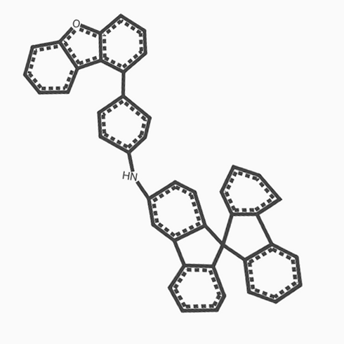 c1ccc2c(c1)-c1ccccc1C21c2ccccc2-c2cc(Nc3ccc(-c4cccc5oc6ccccc6c45)cc3)ccc21